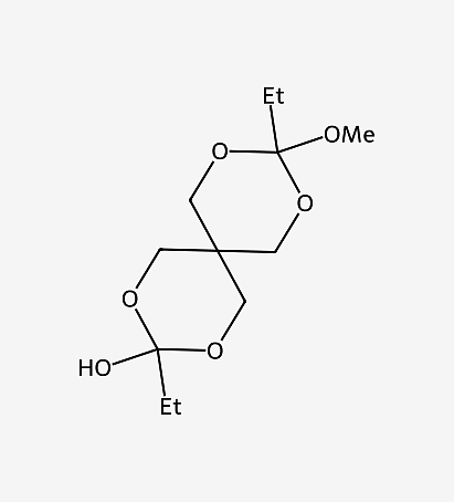 CCC1(O)OCC2(CO1)COC(CC)(OC)OC2